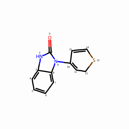 O=c1[nH]c2ccccc2n1C1=CCSC=C1